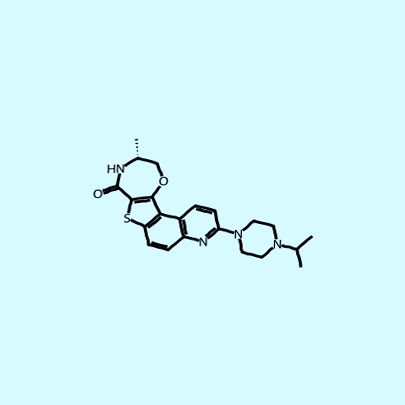 CC(C)N1CCN(c2ccc3c(ccc4sc5c(c43)OC[C@@H](C)NC5=O)n2)CC1